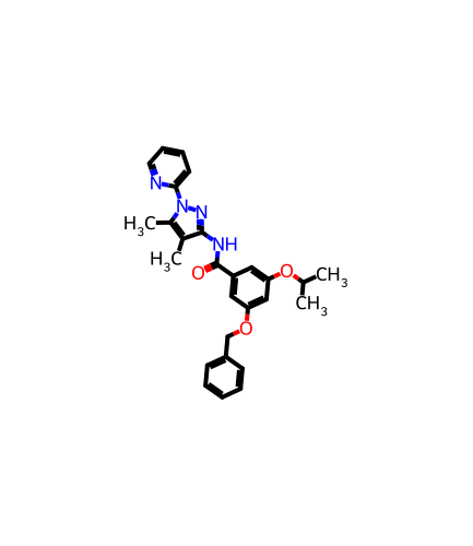 Cc1c(NC(=O)c2cc(OCc3ccccc3)cc(OC(C)C)c2)nn(-c2ccccn2)c1C